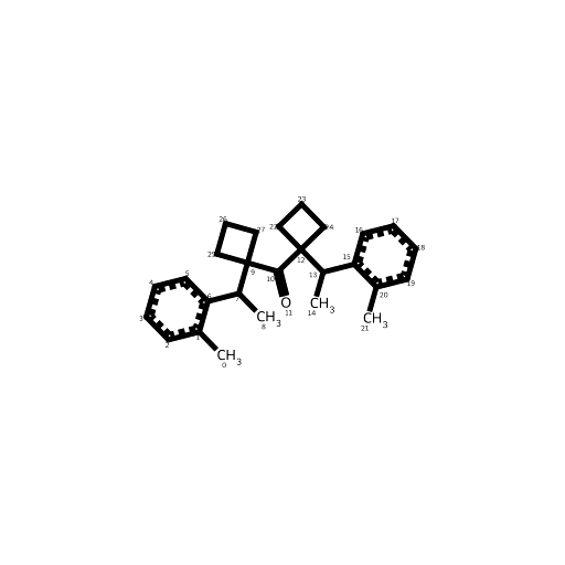 Cc1ccccc1C(C)C1(C(=O)C2(C(C)c3ccccc3C)CCC2)CCC1